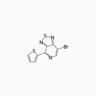 Brc1cnc(-c2cccs2)c2nsnc12